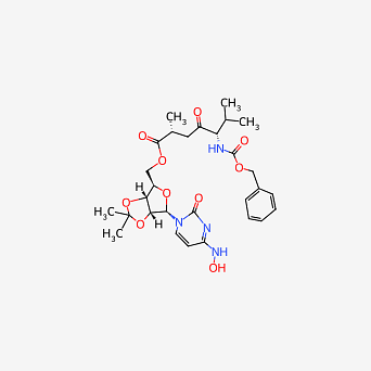 CC(C)[C@H](NC(=O)OCc1ccccc1)C(=O)C[C@@H](C)C(=O)OC[C@H]1O[C@@H](n2ccc(NO)nc2=O)[C@@H]2OC(C)(C)O[C@@H]21